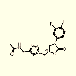 CC(=O)NCc1cn(C[C@H]2CN(c3ccc(I)c(F)c3)C(=O)O2)nn1